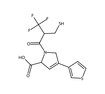 O=C(O)C1C=C(c2ccsc2)CN1C(=O)C(CS)C(F)(F)F